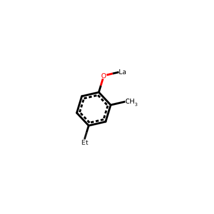 CCc1ccc([O][La])c(C)c1